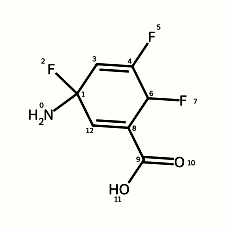 NC1(F)C=C(F)C(F)C(C(=O)O)=C1